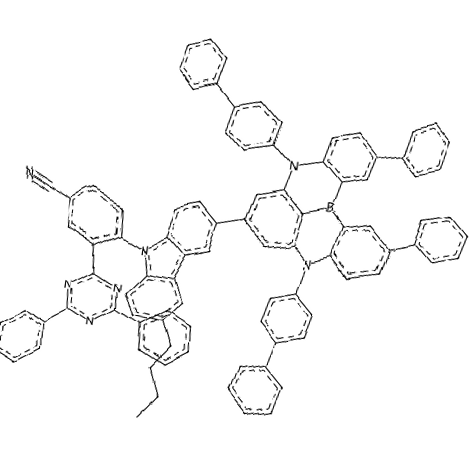 CCCCc1ccc2c(c1)c1cc(-c3cc4c5c(c3)N(c3ccc(-c6ccccc6)cc3)c3ccc(-c6ccccc6)cc3B5c3cc(-c5ccccc5)ccc3N4c3ccc(-c4ccccc4)cc3)ccc1n2-c1ccc(C#N)cc1-c1nc(-c2ccccc2)nc(-c2ccccc2)n1